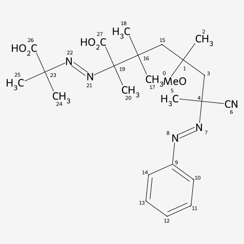 COC(C)(CC(C)(C#N)N=Nc1ccccc1)CC(C)(C)C(C)(N=NC(C)(C)C(=O)O)C(=O)O